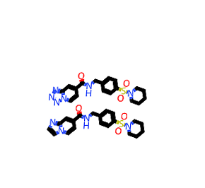 O=C(NCc1ccc(S(=O)(=O)N2CCCCC2)cc1)c1ccn2ccnc2c1.O=C(NCc1ccc(S(=O)(=O)N2CCCCC2)cc1)c1ccn2nnnc2c1